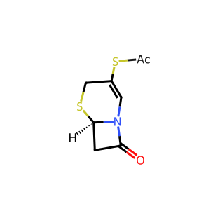 CC(=O)SC1=CN2C(=O)C[C@H]2SC1